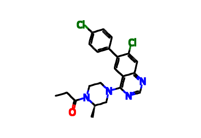 CCC(=O)N1CCN(c2ncnc3cc(Cl)c(-c4ccc(Cl)cc4)cc23)C[C@H]1C